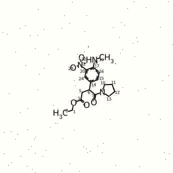 CCOC(=O)CC(C(=O)N1CCCC1)c1ccc(NC)c([N+](=O)[O-])c1